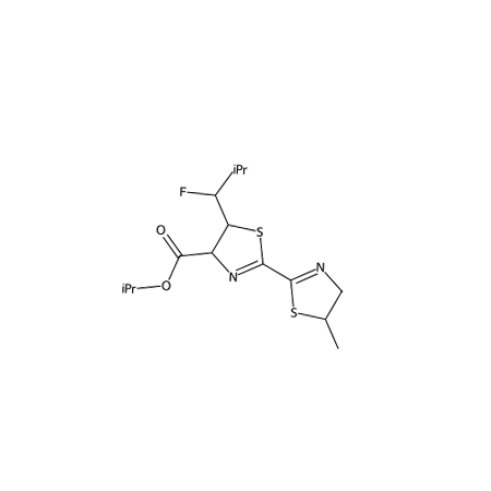 CC(C)OC(=O)C1N=C(C2=NCC(C)S2)SC1C(F)C(C)C